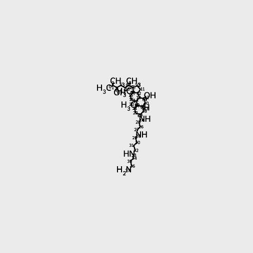 CC(C)C(O)CC[C@@H](C)[C@H]1CCC2C3C(CC[C@@]21C)[C@@]1(C)CC[C@H](NCCCNCCCCNCCCN)C[C@@H]1C[C@H]3O